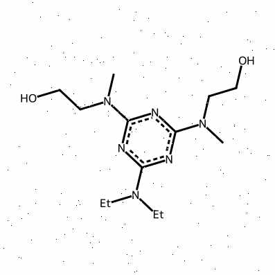 CCN(CC)c1nc(N(C)CCO)nc(N(C)CCO)n1